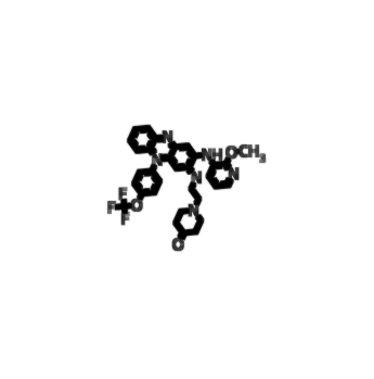 COc1ncccc1Nc1cc2nc3ccccc3n(-c3ccc(OC(F)(F)F)cc3)c-2cc1=NCCN1CCC(=O)CC1